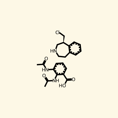 CC(=O)Nc1cccc(C(=O)O)c1NC(C)=O.ClC[C@@H]1CNCCc2ccccc21